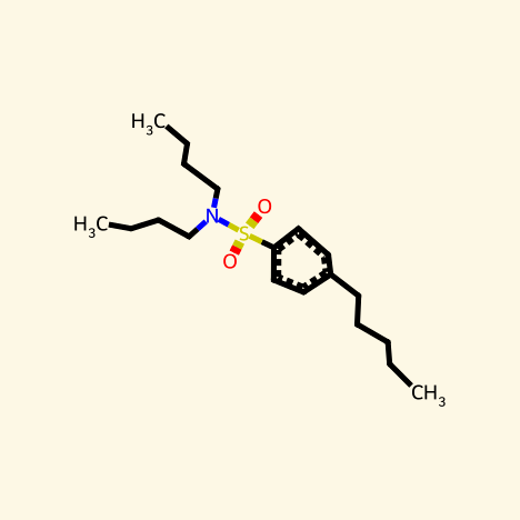 CCCCCc1ccc(S(=O)(=O)N(CCCC)CCCC)cc1